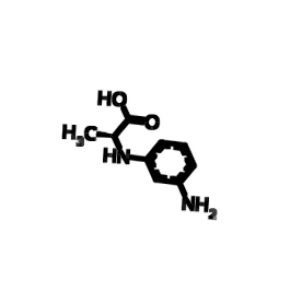 C[C@H](Nc1cccc(N)c1)C(=O)O